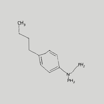 CCCCc1ccc(N(P)P)cc1